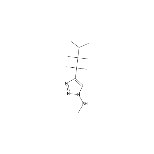 CBn1cc(C(C)(C)C(C)(C)C(C)C)nn1